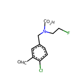 O=Cc1cc(CN(CCF)C(=O)O)ccc1Cl